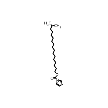 CC(C)CCCCCCCCCCCCCCCOC(=O)n1ccnc1